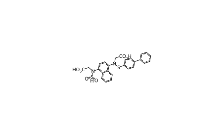 O=C(O)CN(Sc1ccc(-c2ccccc2)cc1)c1ccc(N(CC(=O)O)[SH](=O)=O)c2ccccc12